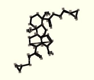 CC1C2=CC34CCC5C(C)(C(=O)COC[C@H]6CO6)CCCC5(C)C3CC2C(C(=O)OCC2CO2)C14